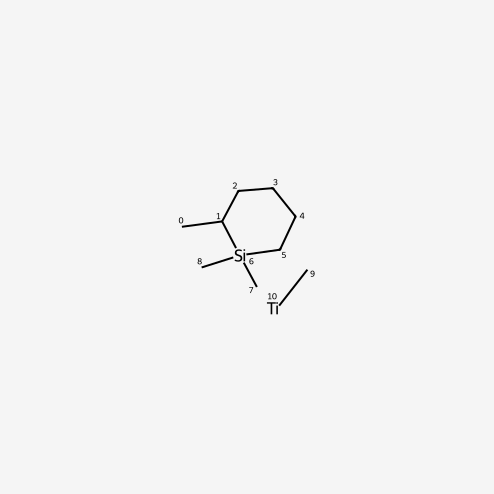 CC1CCCC[Si]1(C)C.[CH3][Ti]